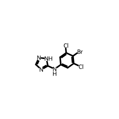 Clc1cc(Nc2ncn[nH]2)cc(Cl)c1Br